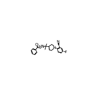 CC(C)(NCC(=O)c1ccccc1)C1CCN(c2ccc(F)cc2C#N)CC1